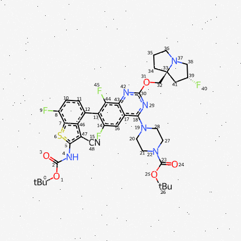 CC(C)(C)OC(=O)Nc1sc2c(F)ccc(-c3c(F)cc4c(N5CCN(C(=O)OC(C)(C)C)CC5)nc(OC[C@@]56CCCN5C[C@H](F)C6)nc4c3F)c2c1C#N